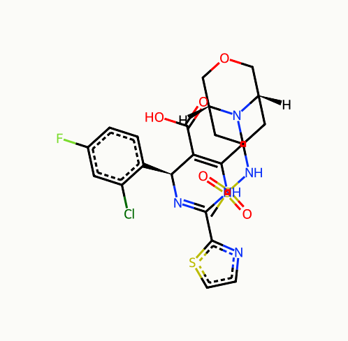 CS(=O)(=O)NC1C[C@H]2COC[C@@H](C1)N2CC1=C(C(=O)O)[C@H](c2ccc(F)cc2Cl)N=C(c2nccs2)N1